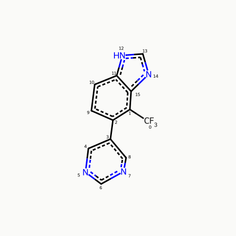 FC(F)(F)c1c(-c2cncnc2)ccc2[nH]cnc12